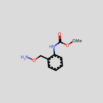 COOC(=O)Nc1ccccc1CON